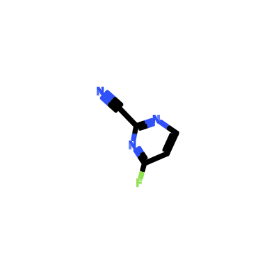 N#Cc1nccc(F)n1